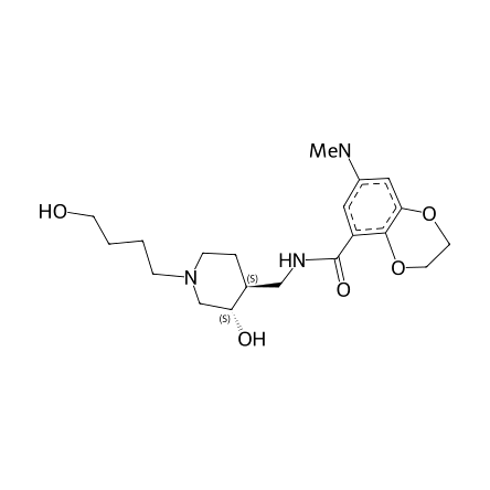 CNc1cc2c(c(C(=O)NC[C@@H]3CCN(CCCCO)C[C@H]3O)c1)OCCO2